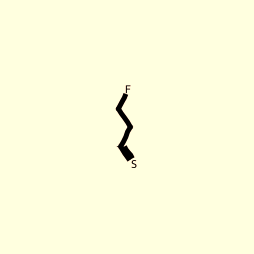 FCC[C]=S